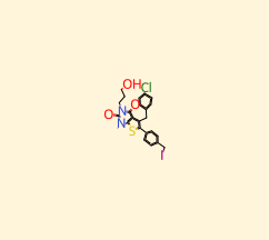 Cn1c(=O)n(CCCO)c(=O)c2c(Cc3ccc(Cl)cc3)c(-c3ccc(CI)cc3)sc21